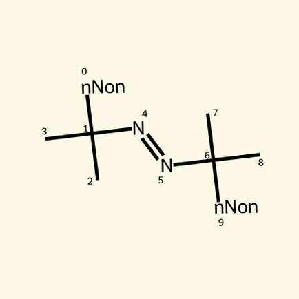 CCCCCCCCCC(C)(C)N=NC(C)(C)CCCCCCCCC